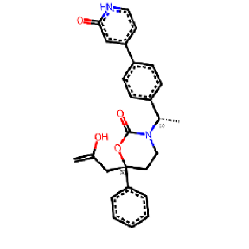 C=C(O)C[C@]1(c2ccccc2)CCN([C@@H](C)c2ccc(-c3cc[nH]c(=O)c3)cc2)C(=O)O1